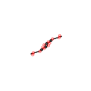 C=CC(=O)OCCCCCCOc1ccc(C(=O)Oc2ccc3c(c2)C(=O)c2ccc(OC(=O)c4ccc(OCCCCCCOC(=O)C=C)cc4)cc2C3=O)cc1